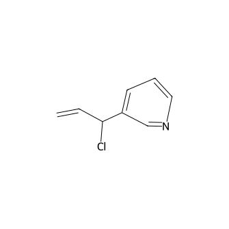 C=CC(Cl)c1cccnc1